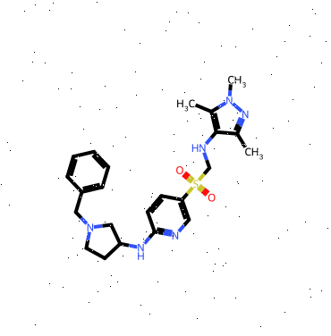 Cc1nn(C)c(C)c1NCS(=O)(=O)c1ccc(NC2CCN(Cc3ccccc3)C2)nc1